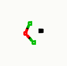 ClOCl.[Bi]